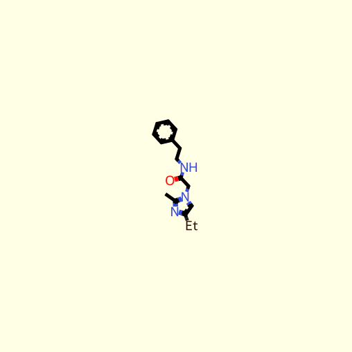 CCc1cn(CC(=O)NCCc2ccccc2)c(C)n1